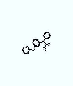 COC(=O)C(c1ccccc1)c1cccc(Oc2ccccc2)c1